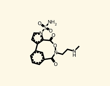 CNCCN1OC(=O)c2c(ccn2S(N)(=O)=O)-c2cccc(c2)C1=O